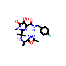 C=C(NC(C)(C)c1nc(C(=O)NCc2ccc(F)cc2)c(O)c(=O)n1C)c1nnc(C)o1